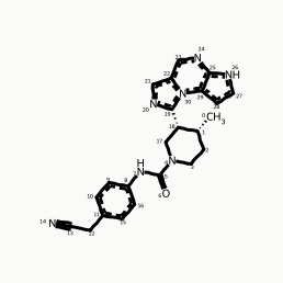 C[C@@H]1CCN(C(=O)Nc2ccc(CC#N)cc2)C[C@@H]1c1ncc2cnc3[nH]ccc3n12